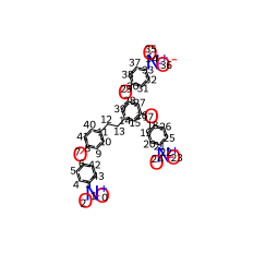 O=[N+]([O-])c1ccc(Oc2ccc(CCc3cc(Oc4ccc([N+](=O)[O-])cc4)cc(Oc4ccc([N+](=O)[O-])cc4)c3)cc2)cc1